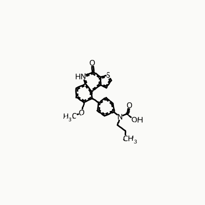 CCCN(C(=O)O)c1ccc(-c2c(OC)ccc3[nH]c(=O)c4sccc4c23)cc1